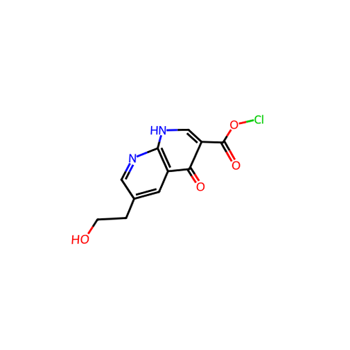 O=C(OCl)c1c[nH]c2ncc(CCO)cc2c1=O